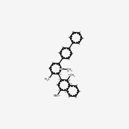 Cc1ccc(-c2ccc(-c3ccccc3)cc2)[n+](C)c1-c1cc(C(C)(C)C)c2ccccc2c1C